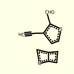 C#Cc1ccsc1C=O.c1cc2ncc1-2